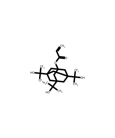 C=CC(=O)OC12CC3(C(C)(C)O)CC(C(C)(O)C(F)(F)F)(C1)CC(C(O)(C(F)(F)F)C(F)(F)F)(C2)C3